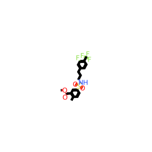 COC(=O)c1cc(S(=O)(=O)NCCCc2ccc(C(F)(F)F)c(F)c2)ccc1C